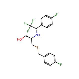 OC[C@H](CSCc1ccc(F)cc1)N[C@@H](c1ccc(F)cc1)C(F)(F)F